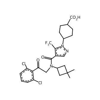 CC1(C)CC(N(CC(=O)c2c(Cl)cccc2Cl)C(=O)c2cnn(C3CCC(C(=O)O)CC3)c2C(F)(F)F)C1